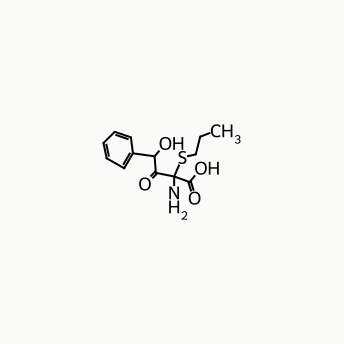 CCCSC(N)(C(=O)O)C(=O)C(O)c1ccccc1